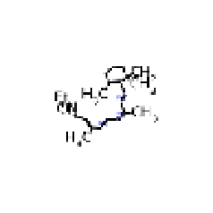 CCON=CC=C(C)/C=C/C=C(C)\C=C\C1=C(C)CCCC1(C)C